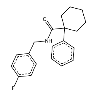 O=C(NCc1ccc(F)cc1)C1(c2ccccc2)CCCCC1